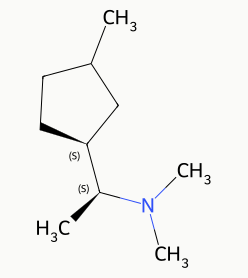 CC1CC[C@H]([C@H](C)N(C)C)C1